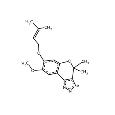 COc1cc2c(cc1OCC=C(C)C)OC(C)(C)c1[se]nnc1-2